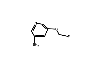 Bc1cncc(OCF)c1